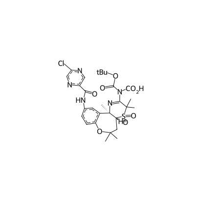 CC(C)(C)OC(=O)N(C(=O)O)C1=N[C@]2(C)c3cc(NC(=O)c4cnc(Cl)cn4)ccc3OC(C)(C)C[C@H]2S(=O)(=O)C1(C)C